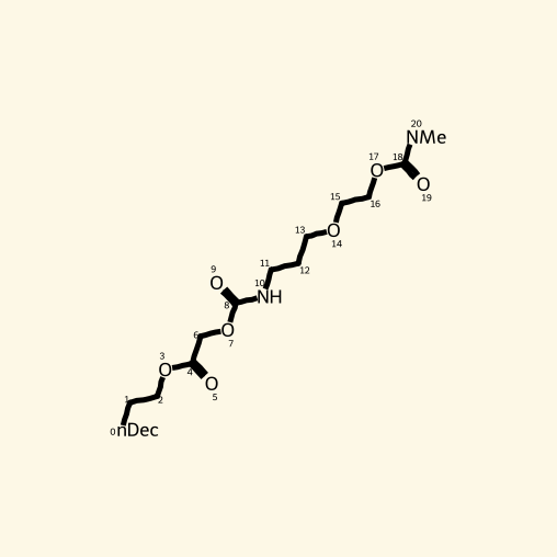 CCCCCCCCCCCCOC(=O)COC(=O)NCCCOCCOC(=O)NC